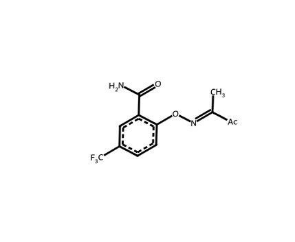 CC(=O)C(C)=NOc1ccc(C(F)(F)F)cc1C(N)=O